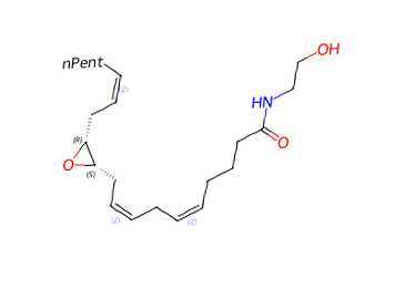 CCCCC/C=C\C[C@H]1O[C@H]1C/C=C\C/C=C\CCCC(=O)NCCO